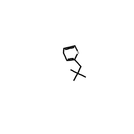 CC(C)(C)CC1=CCC=CS1